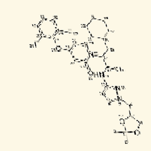 CC1(C)OCC(Cn2ccc(NC(=O)C(CC3CCCCC3)n3ncc(Oc4c(F)cccc4F)cc3=O)n2)O1